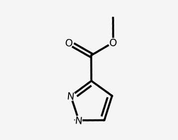 COC(=O)C1=N[N]C=C1